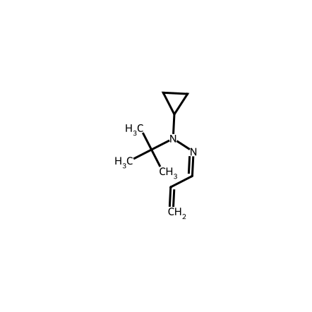 C=C/C=N\N(C1CC1)C(C)(C)C